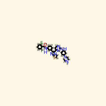 CN1CCN(c2ccc(Nc3nccc(-c4c(-c5cccc(NC(=O)c6c(F)cccc6F)c5)nc5n4CCS5)n3)cc2)CC1